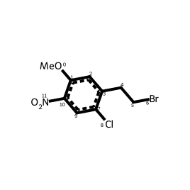 COc1cc(CCBr)c(Cl)cc1[N+](=O)[O-]